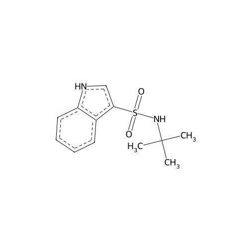 CC(C)(C)NS(=O)(=O)c1c[nH]c2ccccc12